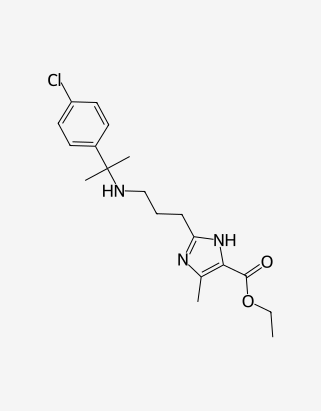 CCOC(=O)c1[nH]c(CCCNC(C)(C)c2ccc(Cl)cc2)nc1C